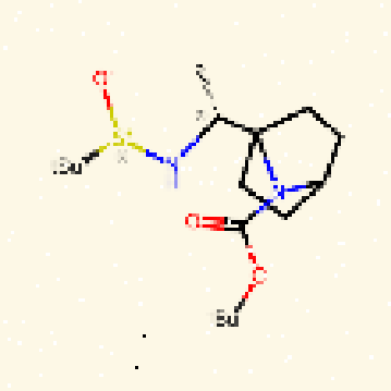 C[C@@H](N[S@+]([O-])C(C)(C)C)C12CCC(CC1)N2C(=O)OC(C)(C)C